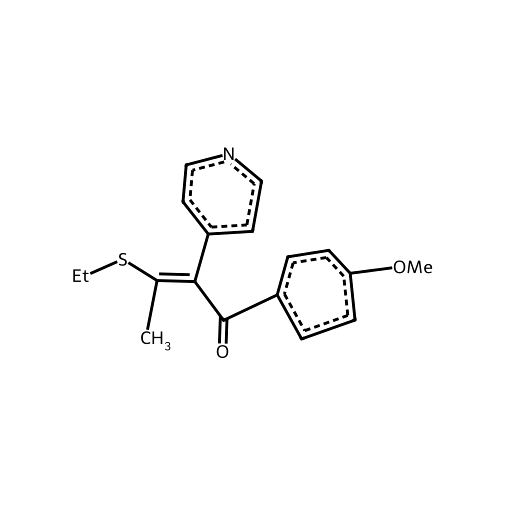 CCS/C(C)=C(/C(=O)c1ccc(OC)cc1)c1ccncc1